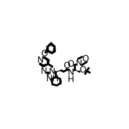 CC(C)(C)OC[C@@H](NC(=O)CC[C@@H](C1CCCCC1)N1Cc2cc(Oc3ccccc3)ncc2N=C1N)C(=O)N1CCOCC1